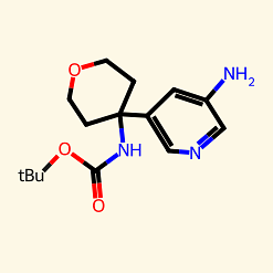 CC(C)(C)OC(=O)NC1(c2cncc(N)c2)CCOCC1